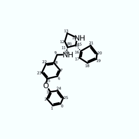 c1ccc(Oc2ccc(CN[C@@H]3CCN[C@@H]3c3ccccc3)cc2)cc1